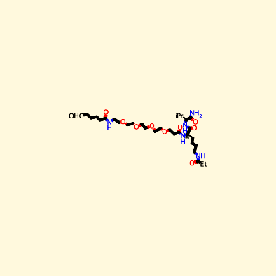 CCC(=O)NCCCC[C@@H](NC(=O)CCOCCOCCOCCOCCNC(=O)CCCCC=O)C(=O)N[C@H](C(N)=O)C(C)C